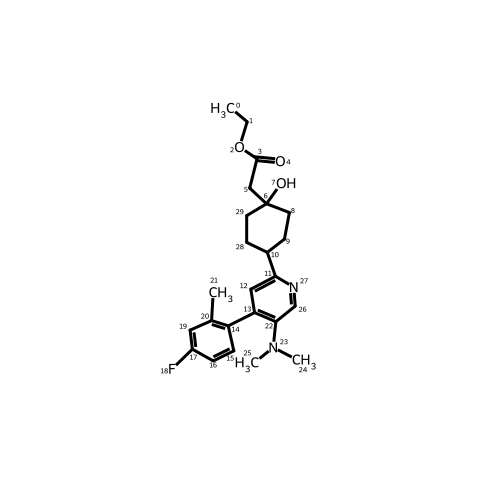 CCOC(=O)CC1(O)CCC(c2cc(-c3ccc(F)cc3C)c(N(C)C)cn2)CC1